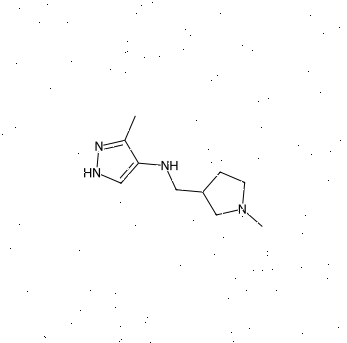 Cc1n[nH]cc1NCC1CCN(C)C1